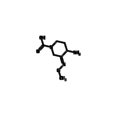 CON=C1CN(C(=O)O)CCC1N